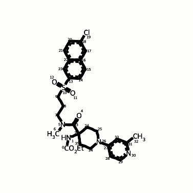 CCOC(=O)NC1(C(=O)N(C)CCCS(=O)(=O)c2ccc3cc(Cl)ccc3c2)CCN(c2ccnc(C)c2)CC1